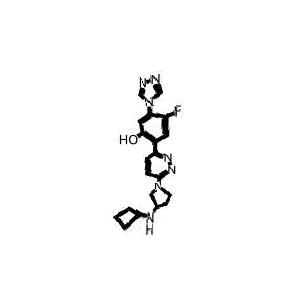 Oc1cc(-n2cnnc2)c(F)cc1-c1ccc(N2CCC(NC3CCC3)C2)nn1